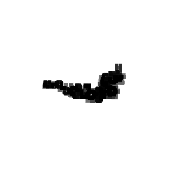 COCCO[C@H]1CC[C@H](CNc2ccc(S(=O)(=O)NC(=O)c3ccccc3N3CCCOc4nc5[nH]ccc5cc43)cc2[N+](=O)[O-])OC1